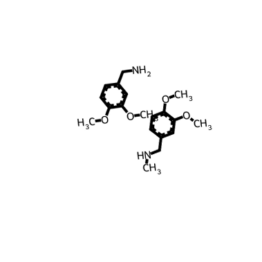 CNCc1ccc(OC)c(OC)c1.COc1ccc(CN)cc1OC